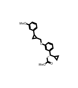 COC(=O)C[C@H](c1cccc(OCC2CC2c2cccc(OC)c2)c1)C1CC1